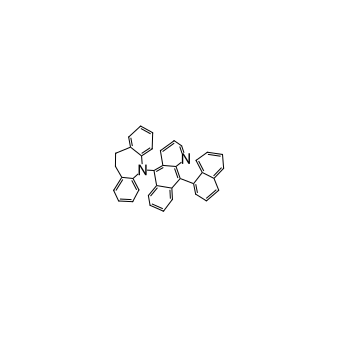 c1ccc2c(c1)CCc1ccccc1N2c1c2ccccc2c(-c2cccc3ccccc23)c2ncccc12